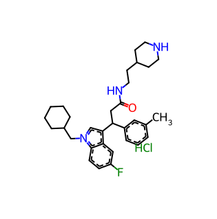 Cc1cccc(C(CC(=O)NCCC2CCNCC2)c2cn(CC3CCCCC3)c3ccc(F)cc23)c1.Cl